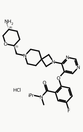 CC(C)N(C)C(=O)c1cc(F)ccc1Oc1cncnc1N1CC2(CCN(C[C@@H]3CC[C@@H](N)CO3)CC2)C1.Cl